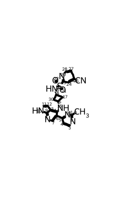 Cc1nccc(-c2cnc3[nH]ccc3c2N[C@H]2C[C@@H](NS(=O)(=O)c3cc(C#N)ccn3)C2)n1